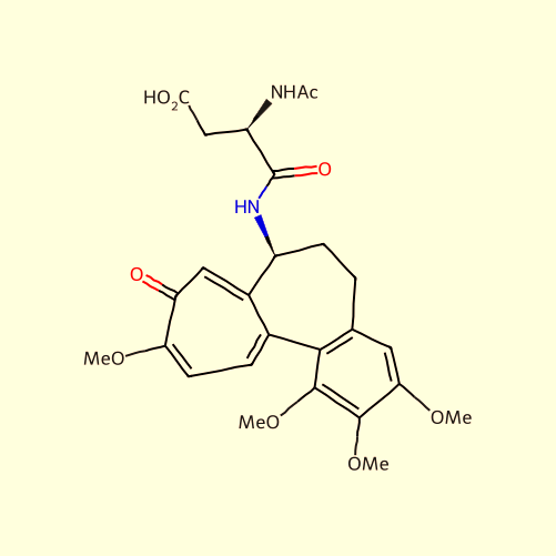 COc1cc2c(c(OC)c1OC)-c1ccc(OC)c(=O)cc1[C@@H](NC(=O)[C@@H](CC(=O)O)NC(C)=O)CC2